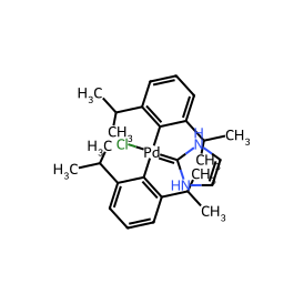 CC(C)c1cccc(C(C)C)[c]1[Pd]([Cl])([c]1c(C(C)C)cccc1C(C)C)=[c]1[nH]cc[nH]1